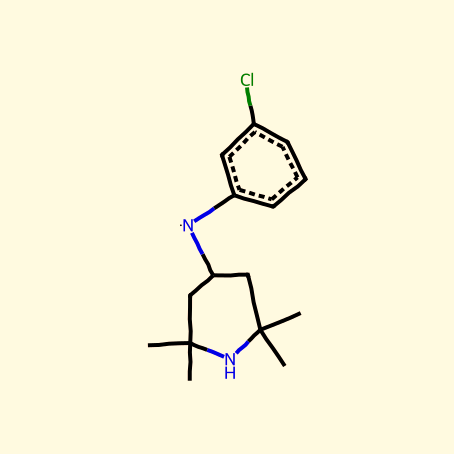 CC1(C)CC([N]c2cccc(Cl)c2)CC(C)(C)N1